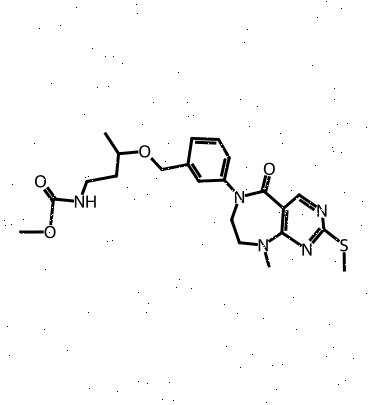 COC(=O)NCCC(C)OCc1cccc(N2CCN(C)c3nc(SC)ncc3C2=O)c1